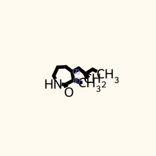 C=C(/C=C1/CCCNC(=O)/C1=C/C)CC